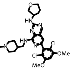 COc1cc(OC)c(Cl)c(-c2cc3cnc(NC4CCCOC4)nc3c(NCC3CCN(C)CC3)n2)c1Cl